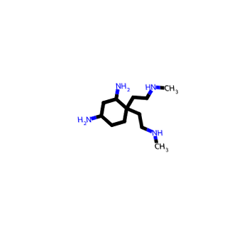 CNCCC1(CCNC)CCC(N)CC1N